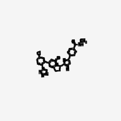 CNC(=O)c1ccc(-c2c[nH]c(C3CCc4cc(-c5cc(Cl)ccc5-n5cnnn5)cc(=O)n43)n2)cc1